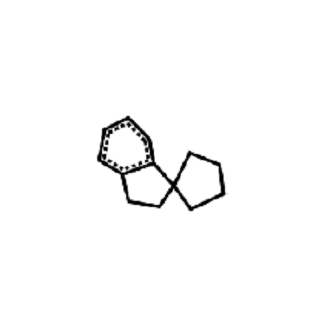 [CH]1CCC2(C1)CCc1ccccc12